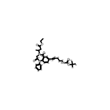 CCOC(=O)CC(C)N1CC(=O)N(c2ccccc2)c2ccc(C#CCCCNC(=O)OC(C)(C)C)cc2C1=O